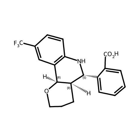 O=C(O)c1ccccc1[C@H]1Nc2ccc(C(F)(F)F)cc2[C@@H]2OCCC[C@H]12